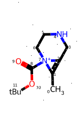 CC1=C2CNCC[N+]12C(=O)OC(C)(C)C